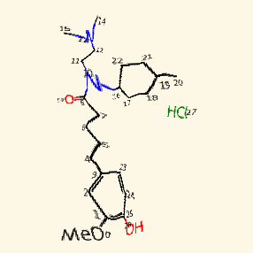 COc1cc(CCCCC(=O)N(CCN(C)C)C2CCC(C)CC2)ccc1O.Cl